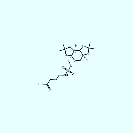 CC1(C)OC2[C@@H](CO[C@@]3(COS(=O)(=O)NCCCC(=O)O)OC(C)(C)O[C@@H]23)O1